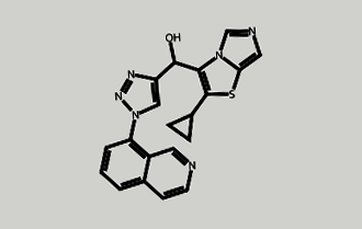 OC(c1cn(-c2cccc3ccncc23)nn1)c1c(C2CC2)sc2cncn12